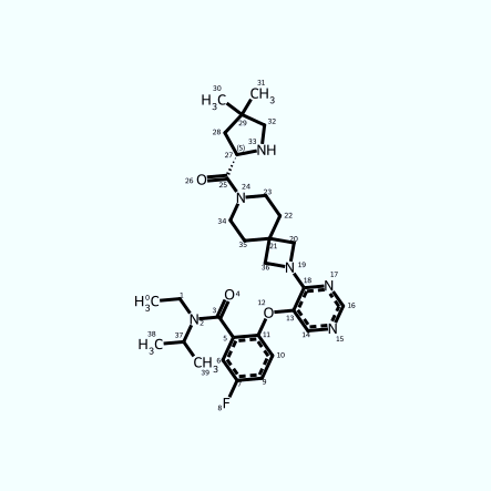 CCN(C(=O)c1cc(F)ccc1Oc1cncnc1N1CC2(CCN(C(=O)[C@@H]3CC(C)(C)CN3)CC2)C1)C(C)C